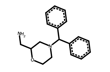 NCC1CN(C(c2ccccc2)c2ccccc2)CCO1